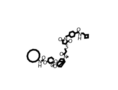 CN(C(=O)CCSC1CC(=O)N(CC2CCC(C(=O)NCC3CCC3)CC2)C1=O)C12CC3CC(C1)C1(OO[C@@]4(CCCC(OC(=O)NC5CCCCCCCCCCCC5)C4)O1)C(C3)C2